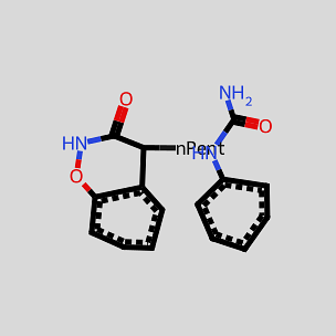 CCCCCC1C(=O)NOc2ccccc21.NC(=O)Nc1ccccc1